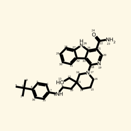 CC(C)(C)c1ccc(NCCC2(CO)CCCN(c3ncc(C(N)=O)c4[nH]c5ccccc5c34)C2)cc1